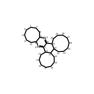 C1CCCC2N=C3C(=NC2CCC1)C1CCCCCCCC1C1CCCCCCCCC31